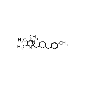 Cc1ccc(CC2CCCC(Cc3nc(C)c(C)c(C)n3)C2)cc1